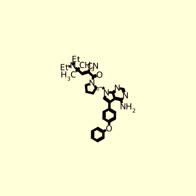 CCN(CC)C(C)(C)C=C(C#N)C(=O)N1CCC[C@H]1Cn1cc(-c2ccc(Oc3ccccc3)cc2)c2c(N)ncnc21